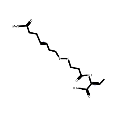 C/C=C(\NC(=O)CCSSCC/C=C/CCC(=O)NC)C(N)=O